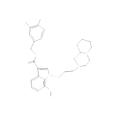 COc1cccc2c(C(=O)NCc3ccc(Cl)c(Cl)c3)cn(CCCN3CCN4CCCCC4C3)c12